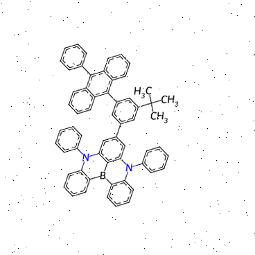 CC(C)(C)c1cc(-c2cc3c4c(c2)N(c2ccccc2)c2ccccc2B4c2ccccc2N3c2ccccc2)cc(-c2c3ccccc3c(-c3ccccc3)c3ccccc23)c1